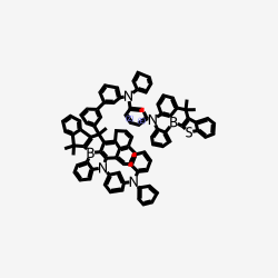 C=C(/C=C\C=C(/C)N1c2ccccc2B2c3sc4ccccc4c3C(C)(C)c3cccc1c32)N(c1ccccc1)c1cccc(-c2cccc(C3(C)C4=C(B5c6ccccc6N(c6cccc(N(c7ccccc7)c7ccccc7)c6)c6c5c3c3c5c(cccc65)C=CC3)C(C)(C)c3ccccc34)c2)c1